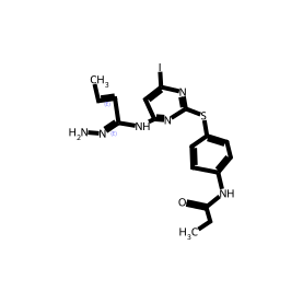 C/C=C/C(=N\N)Nc1cc(I)nc(Sc2ccc(NC(=O)CC)cc2)n1